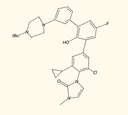 Cn1ccn(-c2c(Cl)cc(-c3cc(F)cc(-c4cccc(N5CCN(C(C)(C)C)CC5)c4)c3O)cc2C2CC2)c1=O